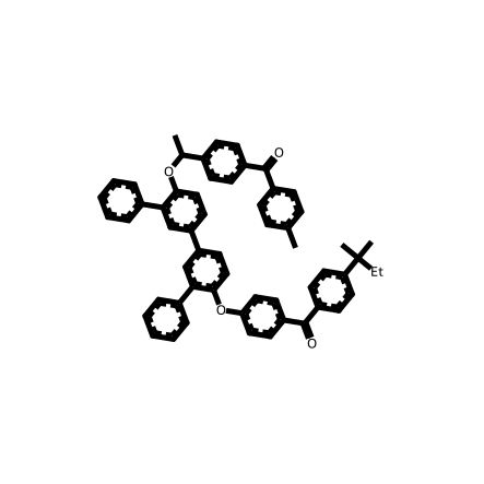 CCC(C)(C)c1ccc(C(=O)c2ccc(Oc3ccc(-c4ccc(OC(C)c5ccc(C(=O)c6ccc(C)cc6)cc5)c(-c5ccccc5)c4)cc3-c3ccccc3)cc2)cc1